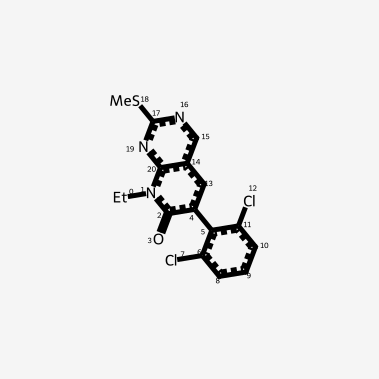 CCn1c(=O)c(-c2c(Cl)cccc2Cl)cc2cnc(SC)nc21